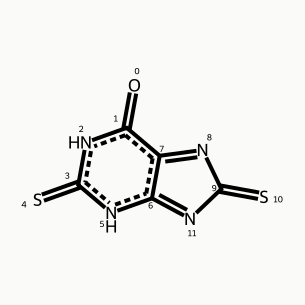 O=c1[nH]c(=S)[nH]c2c1=NC(=S)N=2